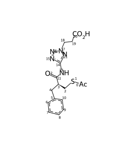 CC(=O)SC[C@@H](Cc1ccccc1)C(=O)Nc1nnn(CCC(=O)O)n1